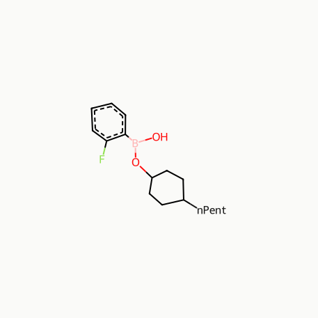 CCCCCC1CCC(OB(O)c2ccccc2F)CC1